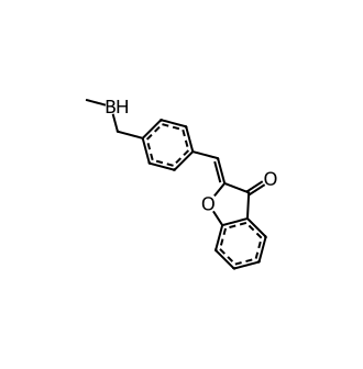 CBCc1ccc(/C=C2\Oc3ccccc3C2=O)cc1